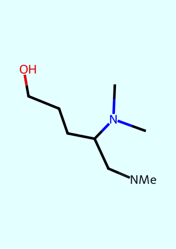 CNCC(CCCO)N(C)C